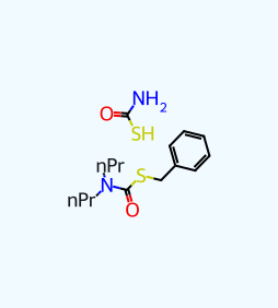 CCCN(CCC)C(=O)SCc1ccccc1.NC(=O)S